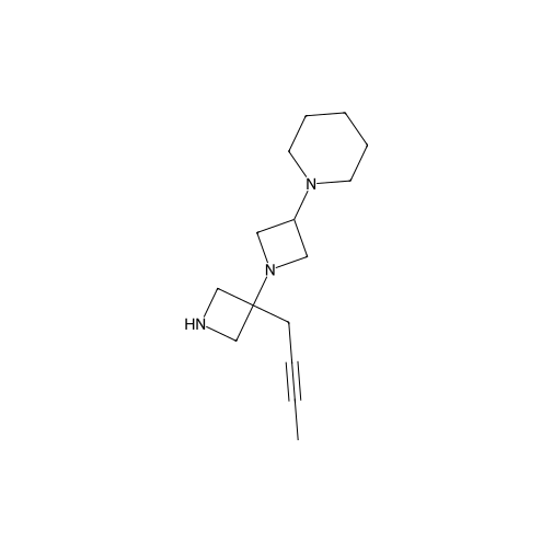 CC#CCC1(N2CC(N3CCCCC3)C2)CNC1